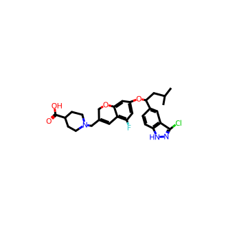 CC(C)CC(Oc1cc(F)c2c(c1)OCC(CN1CCC(C(=O)O)CC1)=C2)c1ccc2[nH]nc(Cl)c2c1